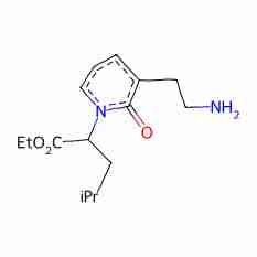 CCOC(=O)C(CC(C)C)n1cccc(CCN)c1=O